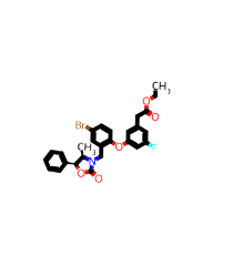 CCOC(=O)Cc1cc(F)cc(Oc2ccc(Br)cc2CN2C(=O)O[C@@H](c3ccccc3)[C@H]2C)c1